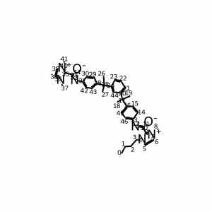 CCCCn1cc[n+](C)c1/C([O-])=N/c1ccc(C(C)(C)c2cccc(C(C)(C)c3ccc(/N=C(\[O-])c4n(C)cc[n+]4C)cc3)c2)cc1